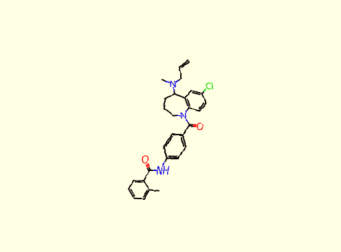 C=CCN(C)C1CCCN(C(=O)c2ccc(NC(=O)c3ccccc3C)cc2)c2ccc(Cl)cc21